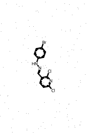 Clc1ccc(/C=N/Nc2ccc(Br)cc2)c(Cl)n1